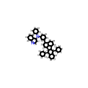 c1ccc(-c2c3c(c(-c4ccccc4)c4ccccc24)-c2ccc(-c4cccc(N(c5ccccc5)c5ccnc6ccccc56)c4)c4cccc-3c24)cc1